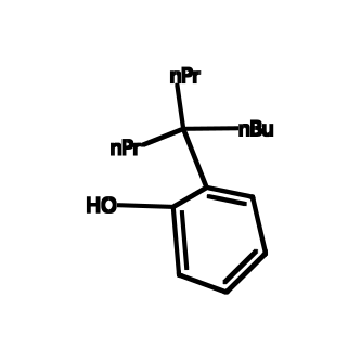 CCCCC(CCC)(CCC)c1ccccc1O